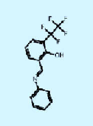 Oc1c(/C=N/c2ccccc2)cccc1C(F)(F)C(F)(F)F